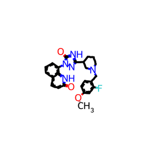 COc1ccc(CN2CCCC(c3nn(-c4cccc5ccc(=O)[nH]c45)c(=O)[nH]3)C2)c(F)c1